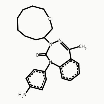 CC1=NN(C2CCCCCCCCC2)C(=O)N(c2ccc(N)cc2)c2ccccc21